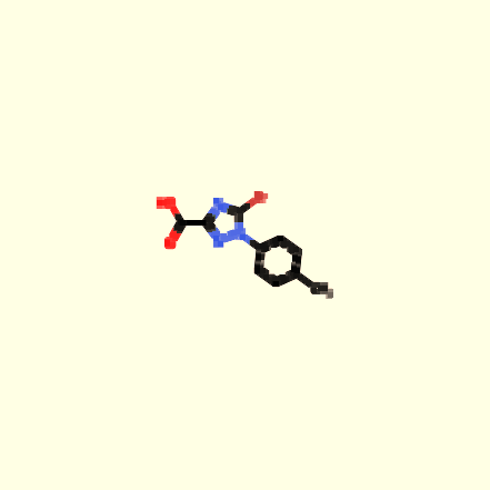 Cc1ccc(-n2nc(C(=O)O)nc2Br)cc1